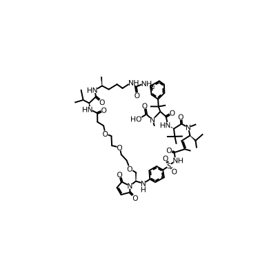 C/C(=C\[C@H](C(C)C)N(C)C(=O)[C@@H](NC(=O)C(N(C)C(=O)O)C(C)(C)c1ccccc1)C(C)(C)C)C(=O)NS(=O)(=O)c1ccc(N[C@H](COCCOCCOCCC(=O)N[C@H](C(=O)N[C@@H](C)CCCNC(N)=O)C(C)C)N2C(=O)C=CC2=O)cc1